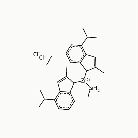 CC.C[SiH2][Zr+2]([CH]1C(C)=Cc2c(C(C)C)cccc21)[CH]1C(C)=Cc2c(C(C)C)cccc21.[Cl-].[Cl-]